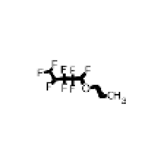 CC=COC(F)C(F)(F)C(F)(F)C(F)C(F)F